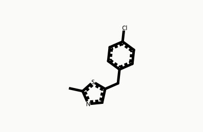 Cc1ncc(Cc2ccc(Cl)cc2)s1